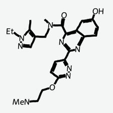 CCn1ncc(CN(C)C(=O)c2nc(-c3ccc(OCCNC)nn3)nc3ccc(O)cc23)c1C